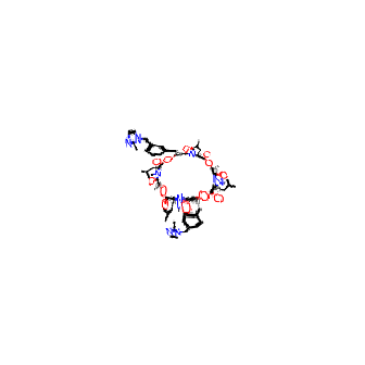 Cc1nccn1Cc1ccc(C[C@H]2OC(=O)[C@H](CC(C)C)N(C)C(=O)[C@@H](C)OC(=O)[C@H](CC(C)C)N(C)C(=O)[C@@H](Cc3cccc(Cn4ccnc4C)c3)OC(=O)[C@H](CC(C)C)N(C)C(=O)[C@@H](C)OC(=O)[C@H](CC(C)C)N(C)C2=O)cc1